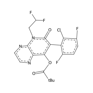 CC(C)(C)C(=O)Oc1c(-c2c(F)ccc(F)c2Cl)c(=O)n(CC(F)F)c2nccnc12